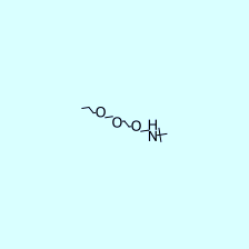 CCCOCCOCCOCCNC(C)(C)C